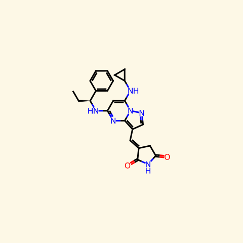 CC[C@H](Nc1cc(NC2CC2)n2ncc(/C=C3\CC(=O)NC3=O)c2n1)c1ccccc1